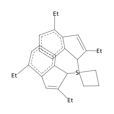 CCC1=Cc2c(CC)cccc2C1[Si]1(C2C(CC)=Cc3c(CC)cccc32)CCC1